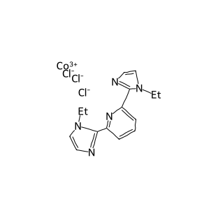 CCn1ccnc1-c1cccc(-c2nccn2CC)n1.[Cl-].[Cl-].[Cl-].[Co+3]